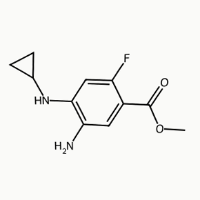 COC(=O)c1cc(N)c(NC2CC2)cc1F